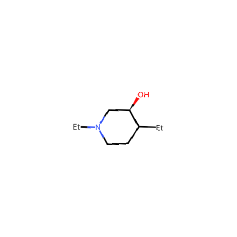 CCC1CCN(CC)C[C@H]1O